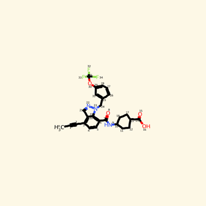 CC#Cc1ccc(C(=O)NC2CCC(C(=O)O)CC2)c2c1cnn2Cc1cccc(OC(F)(F)F)c1